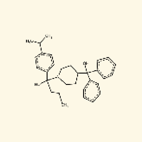 CCCC(O)(c1ccc(C(C)C)cc1)N1CCC(C(O)(c2ccccc2)c2ccccc2)CC1